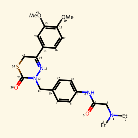 CCN(CC)CC(=O)Nc1ccc(CN2N=C(c3ccc(OC)c(OC)c3)CSC2=O)cc1